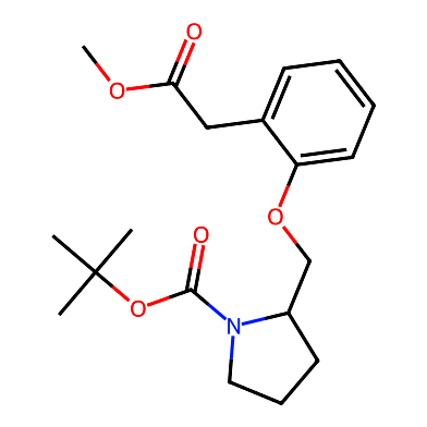 COC(=O)Cc1ccccc1OCC1CCCN1C(=O)OC(C)(C)C